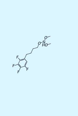 CO[SiH](OC)OCCCCc1cc(F)c(F)c(F)c1F